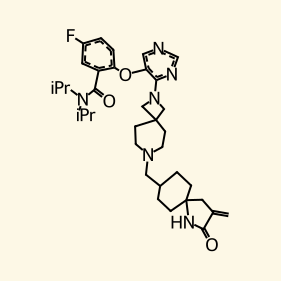 C=C1CC2(CCC(CN3CCC4(CC3)CN(c3ncncc3Oc3ccc(F)cc3C(=O)N(C(C)C)C(C)C)C4)CC2)NC1=O